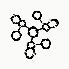 c1ccc(-n2c(-c3cc(-c4nc5nccnc5n4-c4ccccc4)cc(-c4nc5nccnc5n4-c4ccccc4)c3)nc3cncnc32)cc1